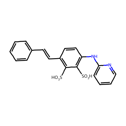 O=S(=O)(O)c1c(C=Cc2ccccc2)ccc(Nc2ccccn2)c1S(=O)(=O)O